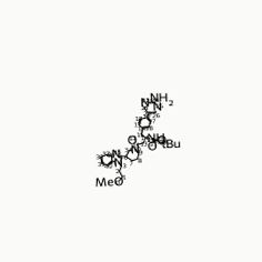 COCCCn1c([C@@H]2CCCN(C(=O)C[C@@H](Cc3ccc(-c4cnc(N)nc4)cc3)NC(=O)OC(C)(C)C)C2)nc2ccccc21